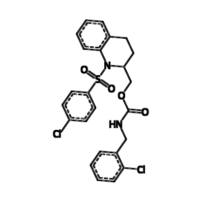 O=C(NCc1ccccc1Cl)OCC1CCc2ccccc2N1S(=O)(=O)c1ccc(Cl)cc1